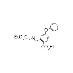 CCOC(=O)CN=Cc1cc(Oc2ccccc2)ccc1C(=O)OCC